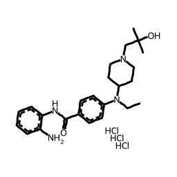 CCN(c1ccc(C(=O)Nc2ccccc2N)cc1)C1CCN(CC(C)(C)O)CC1.Cl.Cl.Cl